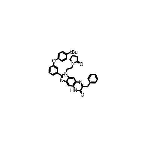 CC(C)(C)c1ccc(Oc2cccc(-c3nc4cc5[nH]c(=O)c(Cc6ccccc6)nc5cc4n3CCN3CCCC3=O)c2)cc1